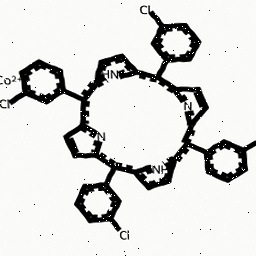 Clc1cccc(-c2c3nc(c(-c4cccc(Cl)c4)c4ccc([nH]4)c(-c4cccc(Cl)c4)c4nc(c(-c5cccc(Cl)c5)c5ccc2[nH]5)C=C4)C=C3)c1.[Co+2]